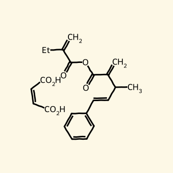 C=C(CC)C(=O)OC(=O)C(=C)C(C)C=Cc1ccccc1.O=C(O)/C=C\C(=O)O